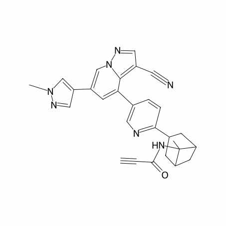 C#CC(=O)NC1(C)C2CC(c3ccc(-c4cc(-c5cnn(C)c5)cn5ncc(C#N)c45)cn3)CC1C2